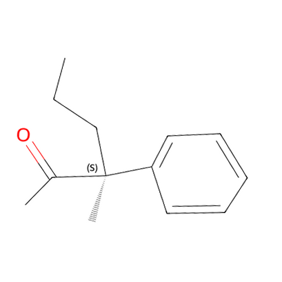 CCC[C@](C)(C(C)=O)c1ccccc1